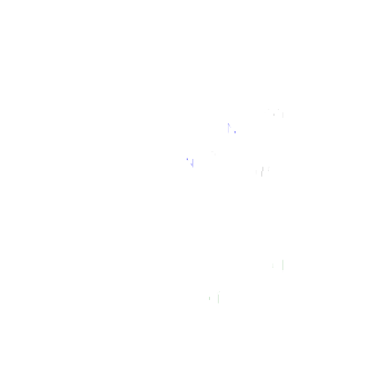 CC(c1ccccc1)N1CC(=O)N(C(=O)O)[C@]1(c1ccc(Cl)c(Cl)c1)C(C)(C)C